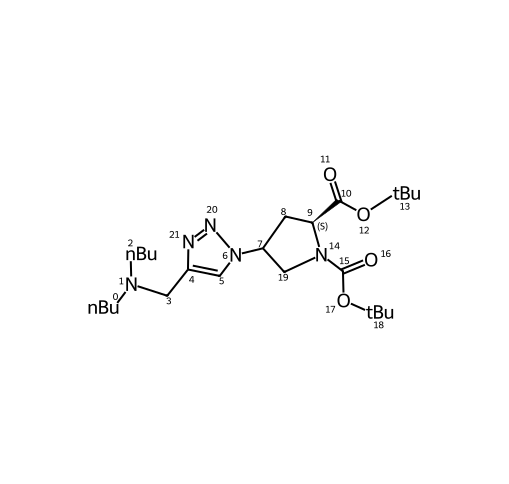 CCCCN(CCCC)Cc1cn(C2C[C@@H](C(=O)OC(C)(C)C)N(C(=O)OC(C)(C)C)C2)nn1